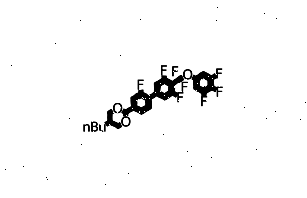 CCCCC1COC(c2ccc(-c3cc(F)c(C(F)(F)Oc4cc(F)c(F)c(F)c4)c(F)c3)c(F)c2)OC1